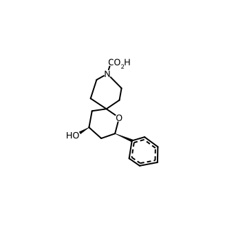 O=C(O)N1CCC2(CC1)C[C@H](O)C[C@H](c1ccccc1)O2